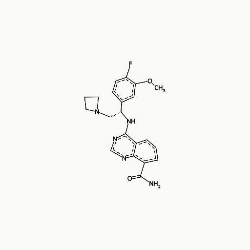 COc1cc([C@@H](CN2CCC2)Nc2ncnc3c(C(N)=O)cccc23)ccc1F